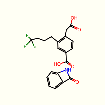 O=C(O)Cc1ccc(C(=O)O)cc1CCCC(F)(F)F.O=C1Nc2ccccc21